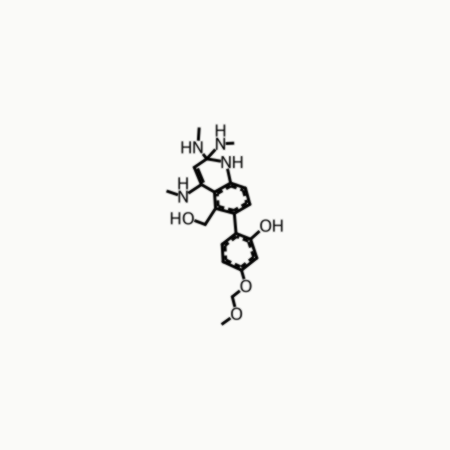 CNC1=CC(NC)(NC)Nc2ccc(-c3ccc(OCOC)cc3O)c(CO)c21